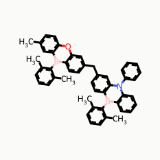 Cc1ccc2c(c1)B(c1c(C)cccc1C)c1ccc(Cc3ccc4c(c3)N(c3ccccc3)c3ccccc3B4c3c(C)cccc3C)cc1O2